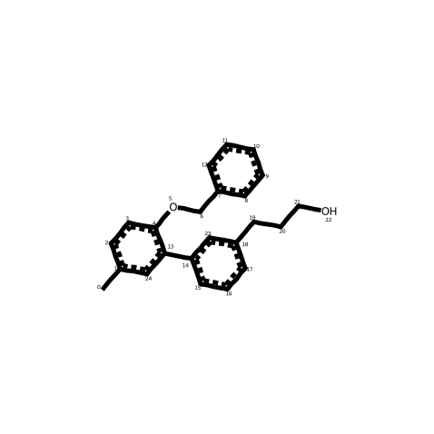 Cc1ccc(OCc2ccccc2)c(-c2cccc(CCCO)c2)c1